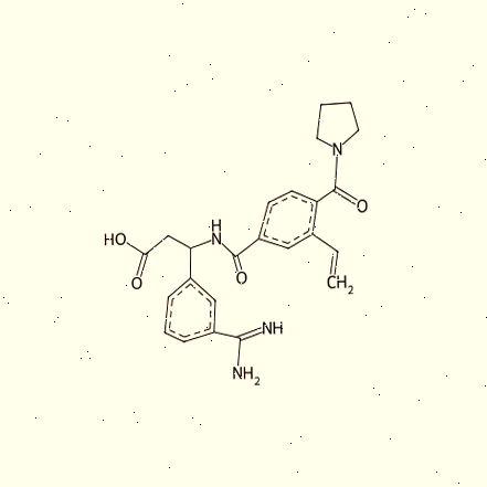 C=Cc1cc(C(=O)NC(CC(=O)O)c2cccc(C(=N)N)c2)ccc1C(=O)N1CCCC1